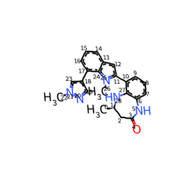 C[C@@H]1CC(=O)Nc2cccc(-c3cc4cccc(-c5cnn(C)c5)c4n3C)c2N1